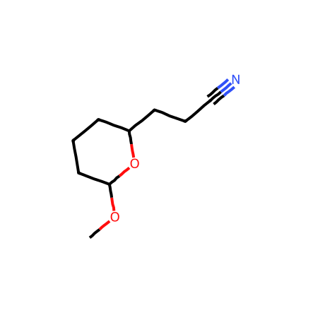 COC1CCCC(CCC#N)O1